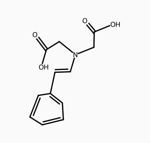 O=C(O)CN(C=Cc1ccccc1)CC(=O)O